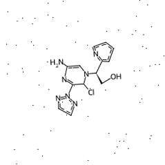 NC1=CN([C@H](CO)c2ccccn2)C(Cl)C(n2nccn2)=N1